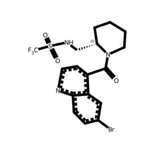 O=C(c1ccnc2ccc(Br)cc12)N1CCCC[C@H]1CNS(=O)(=O)C(F)(F)F